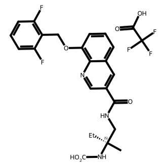 CC[C@@](C)(CNC(=O)c1cnc2c(OCc3c(F)cccc3F)cccc2c1)NC(=O)O.O=C(O)C(F)(F)F